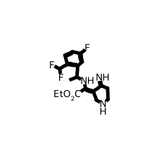 CCOC(=O)/C(NC(C)c1cc(F)ccc1C(F)F)=C1\CNCCC1=N